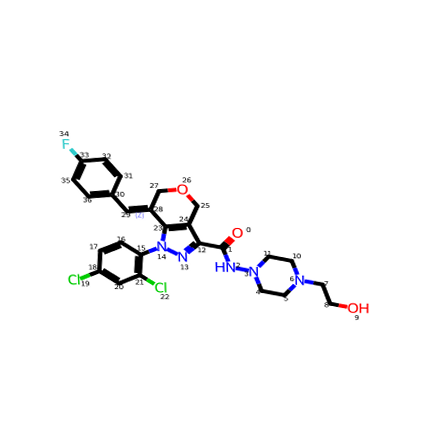 O=C(NN1CCN(CCO)CC1)c1nn(-c2ccc(Cl)cc2Cl)c2c1COC/C2=C\c1ccc(F)cc1